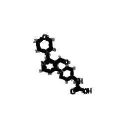 O=Cc1c(N2CCC(NC(=O)O)CC2)ccnc1N1CCOCC1